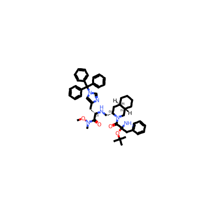 CON(C)C(=O)[C@H](Cc1cn(C(c2ccccc2)(c2ccccc2)c2ccccc2)cn1)NC[C@@H]1C[C@H]2CCCC[C@@H]2CN1C(=O)C(N)(Cc1ccccc1)OC(C)(C)C